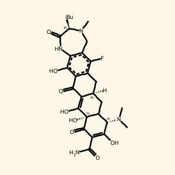 CCC(C)[C@@H]1C(=O)Nc2c(O)c3c(c(F)c2CN1C)C[C@H]1CC2[C@H](N(C)C)C(O)=C(C(N)=O)C(=O)[C@@]2(O)C(O)=C1C3=O